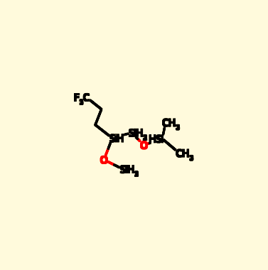 C[SiH](C)O[SiH2][SiH](CCC(F)(F)F)O[SiH3]